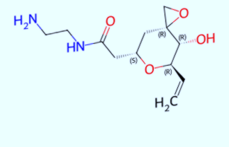 C=C[C@H]1O[C@H](CC(=O)NCCN)C[C@@]2(CO2)[C@@H]1O